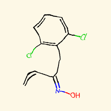 C=C/C(Cc1c(Cl)cccc1Cl)=N/O